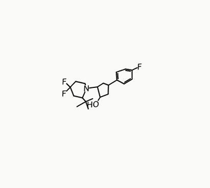 CC(C)(C)C1CC(F)(F)CCN1C1CC(c2ccc(F)cc2)CC1O